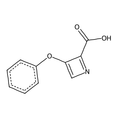 O=C(O)C1=NC=C1Oc1ccccc1